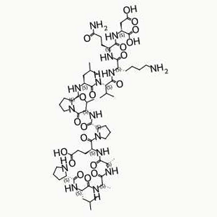 CC(C)C[C@H](NC(=O)[C@@H]1CCCN1)C(=O)N[C@@H](C)C(=O)N[C@@H](C)C(=O)N[C@@H](CCC(=O)O)C(=O)N1CCC[C@H]1C(=O)N[C@H](C(=O)N1CCC[C@H]1C(=O)N[C@@H](CC(C)C)C(=O)N[C@H](C(=O)N[C@@H](CCCCN)C(=O)N[C@@H](CCC(N)=O)C(=O)N[C@@H](CC(=O)O)C(=O)O)C(C)C)C(C)C